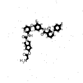 NCC(=O)OC1CC2CN(C(=O)Nc3cc(Oc4ccc(NC(=O)c5cccn(-c6ccc(F)cc6)c5=O)cc4F)ccn3)CC2C1